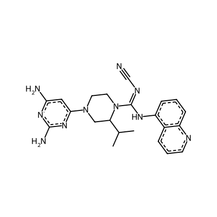 CC(C)C1CN(c2cc(N)nc(N)n2)CCN1/C(=N\C#N)Nc1cccc2ncccc12